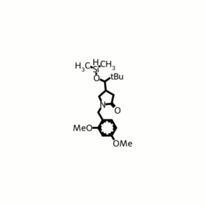 COc1ccc(CN2CC(C(O[SiH](C)C)C(C)(C)C)CC2=O)c(OC)c1